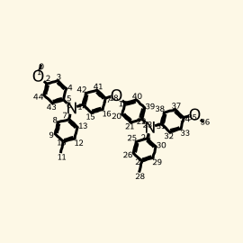 COc1ccc(N(c2ccc(C)cc2)c2ccc(Oc3ccc(N(c4ccc(C)cc4)c4ccc(OC)cc4)cc3)cc2)cc1